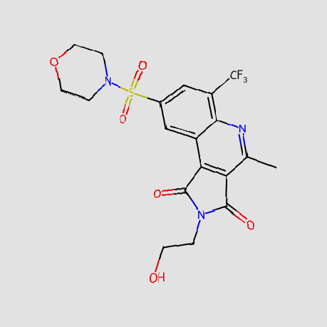 Cc1nc2c(C(F)(F)F)cc(S(=O)(=O)N3CCOCC3)cc2c2c1C(=O)N(CCO)C2=O